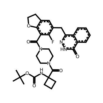 CC(C)(C)OC(=O)NC1(C(=O)N2CCN(C(=O)c3c(F)c(Cc4n[nH]c(=O)c5ccccc45)cc4c3OCC4)CC2)CCC1